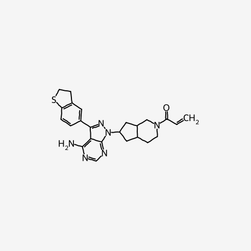 C=CC(=O)N1CCC2CC(n3nc(-c4ccc5c(c4)CCS5)c4c(N)ncnc43)CC2C1